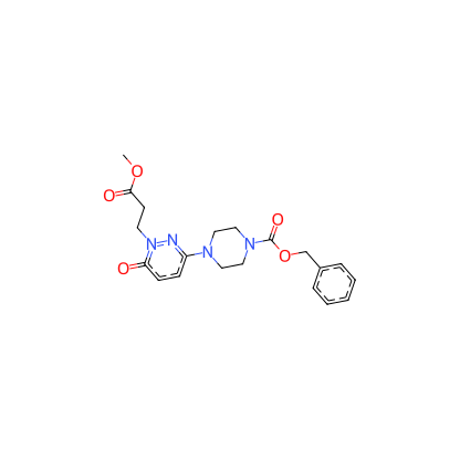 COC(=O)CCn1nc(N2CCN(C(=O)OCc3ccccc3)CC2)ccc1=O